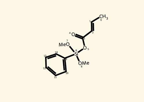 CC=CC(=O)O[Si](OC)(OC)c1ccccc1